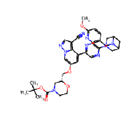 COc1ccc(CN2C3CC2CN(c2cnc(-c4cc(OC[C@H]5CN(C(=O)OC(C)(C)C)CCO5)cn5ncc(C#N)c45)cn2)C3)cn1